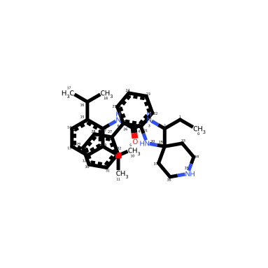 CCC(NC(=O)Nc1c(C(C)C)cccc1C(C)C)C1(Nc2ccccc2-c2ccccc2)CCNCC1